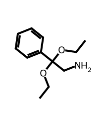 CCOC(CN)(OCC)c1ccccc1